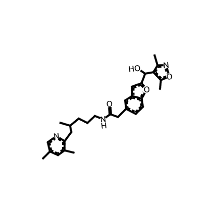 Cc1cnc(CC(C)CCCNC(=O)Cc2ccc3oc(C(O)c4c(C)noc4C)cc3c2)c(C)c1